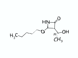 CCCCCOC1NC(=O)C1[C@@H](C)O